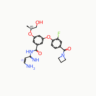 C[C@@H](CO)Oc1cc(Oc2ccc(C(=O)N3CCC3)cc2F)cc(C(=O)NC(=N)/C=C\N)c1